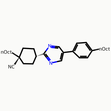 CCCCCCCCc1ccc(-c2cnc([C@H]3CC[C@@](C#N)(CCCCCCCC)CC3)nc2)cc1